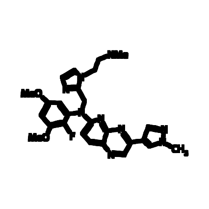 CNCCn1ccnc1CN(c1ccc2ncc(-c3cnn(C)c3)nc2n1)c1cc(OC)cc(OC)c1F